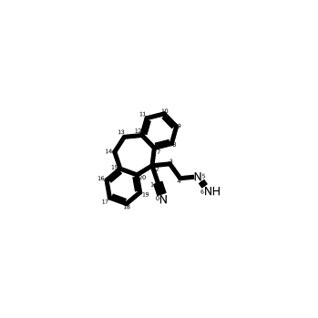 N#CC1(CCN=N)c2ccccc2CCc2ccccc21